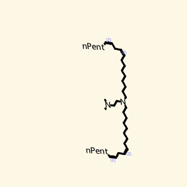 CCCCC/C=C\C/C=C\CCCCCCCCN(CCCCCCCC/C=C\C/C=C\CCCCC)CCN(C)C